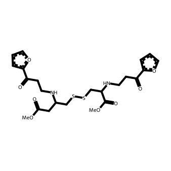 COC(=O)CC(CSSCC(NCCC(=O)c1ccco1)C(=O)OC)NCCC(=O)c1ccco1